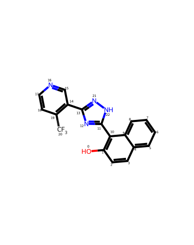 Oc1ccc2ccccc2c1-c1nc(-c2cnccc2C(F)(F)F)n[nH]1